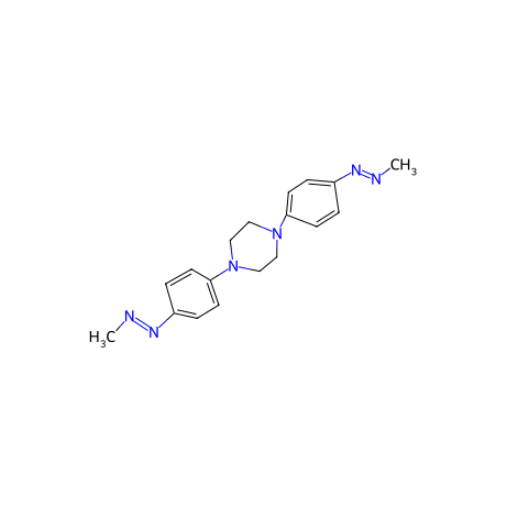 CN=Nc1ccc(N2CCN(c3ccc(N=NC)cc3)CC2)cc1